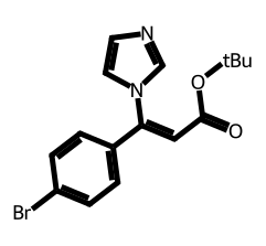 CC(C)(C)OC(=O)C=C(c1ccc(Br)cc1)n1ccnc1